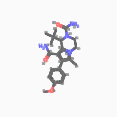 COc1ccc(-c2c(C(N)=O)c3n(c2C)CCN(C(N)=O)C3C(C)(C)C)cc1